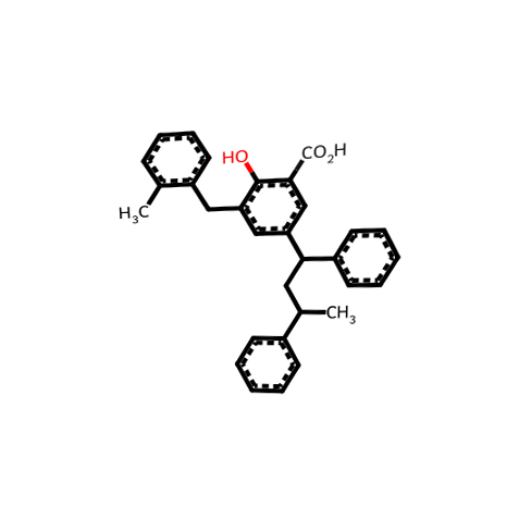 Cc1ccccc1Cc1cc(C(CC(C)c2ccccc2)c2ccccc2)cc(C(=O)O)c1O